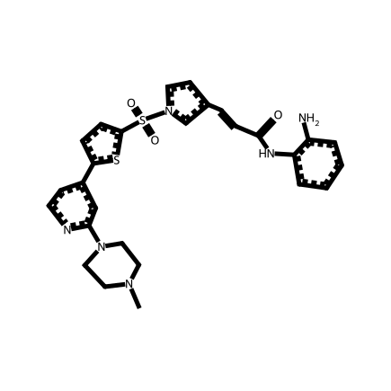 CN1CCN(c2cc(-c3ccc(S(=O)(=O)n4ccc(C=CC(=O)Nc5ccccc5N)c4)s3)ccn2)CC1